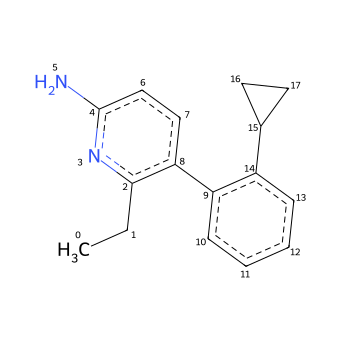 CCc1nc(N)ccc1-c1ccccc1C1CC1